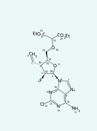 C=C[C@H]1[C@H](F)[C@H](n2cnc3c(N)nc(Cl)nc32)O[C@@H]1COC(C(=O)OCC)C(=O)OCC